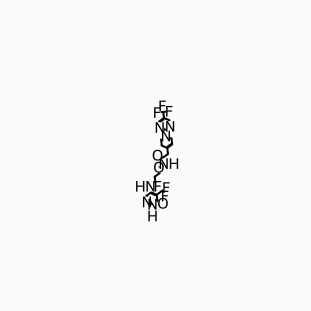 O=C(CC1=CCN(c2ncc(C(F)(F)F)cn2)CC1)NOCCCNc1cn[nH]c(=O)c1C(F)(F)F